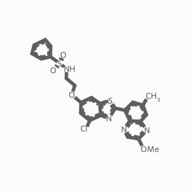 COc1cnc2c(-c3nc4c(Cl)cc(OCCNS(=O)(=O)c5ccccc5)cc4s3)cc(C)cc2n1